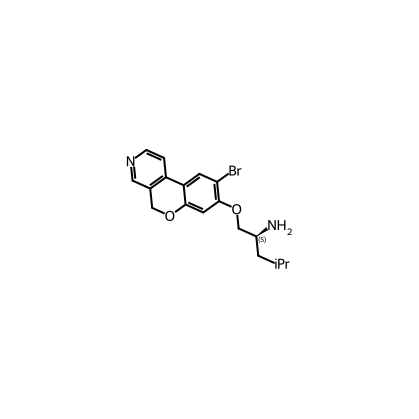 CC(C)C[C@H](N)COc1cc2c(cc1Br)-c1ccncc1CO2